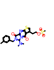 Cc1cccc(CN2C(=O)c3nc4scc(CCOS(C)(=O)=O)c4c(=O)n3C2N(C)C)c1